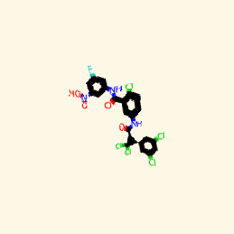 O=C(Nc1cc(F)cc([N+](=O)O)c1)c1cc(NC(=O)[C@H]2[C@H](c3cc(Cl)cc(Cl)c3)C2(Cl)Cl)ccc1Cl